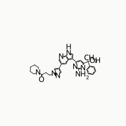 CC(O)(c1ccccc1)c1cc(-c2c[nH]c3ncc(-c4cnn(CCC(=O)N5CCCCC5)c4)cc23)nc(N)n1